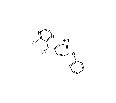 Cl.NC(c1ccc(Oc2ccccc2)cc1)c1nccnc1Cl